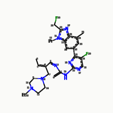 C=C(/N=C\C(=C/C)CN1CCN(CC)CC1)Nc1ncc(F)c(-c2cc(C)c3nc(CF)n(C(C)C)c3c2)n1